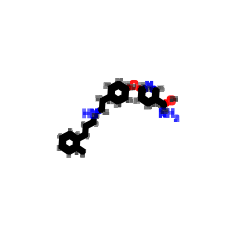 Cc1ccccc1CCCNCCc1ccc(Oc2ccc(C(N)=O)cn2)cc1